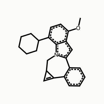 COc1ccc(C2CCCCC2)c2c1cc1n2CC2C=C2c2ccccc2-1